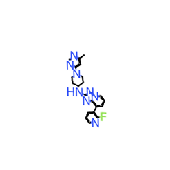 Cc1cc(N2CCC(Nc3nc4c(-c5cccnc5F)cccn4n3)CC2)ncn1